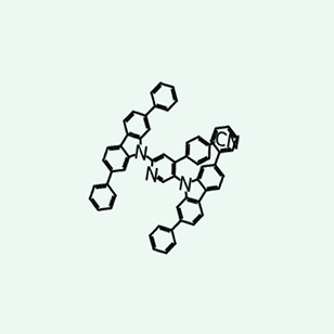 N#Cc1ccc(-c2cc(-n3c4cc(-c5ccccc5)ccc4c4ccc(-c5ccccc5)cc43)ncc2-n2c3cc(-c4ccccc4)ccc3c3ccc(-c4ccccc4)cc32)cc1